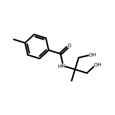 Cc1ccc(C(=O)NC(C)(CO)CO)cc1